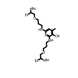 CCCCC(CC)COCCCNc1cc(C)c(C#N)c(NCCCOCC(CC)CCCC)n1